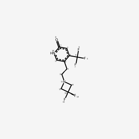 O=c1cc(C(F)(F)F)c(CCN2CC(F)(F)C2)c[nH]1